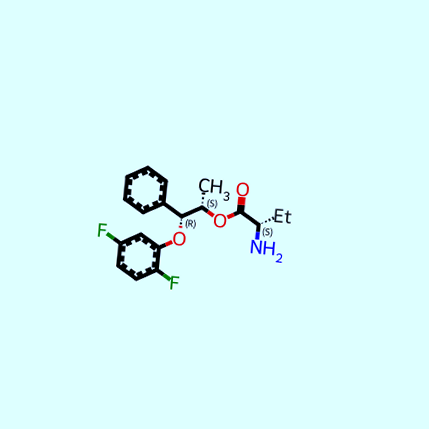 CC[C@H](N)C(=O)O[C@@H](C)[C@H](Oc1cc(F)ccc1F)c1ccccc1